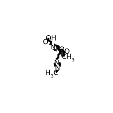 CCN1CCN(CCCC2C(N3CCN(CCC(=O)O)CC3)OC(=O)N2C)CC1